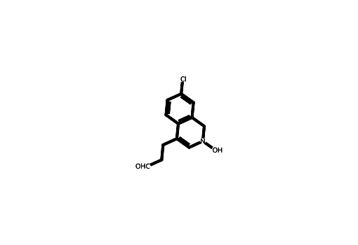 O=CCCC1=CN(O)Cc2cc(Cl)ccc21